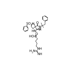 CC(C)(Cc1ccccc1)NC(=O)C1(C(=O)NOB(O)CCCCNC(=N)N)CCCC1.O=S(=O)(O)c1ccccc1